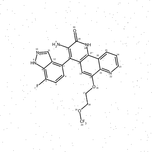 Nc1c(-c2ccc(F)c3[nH]ncc23)c2cc(OCCOC(F)(F)F)c3ncccc3c2[nH]c1=O